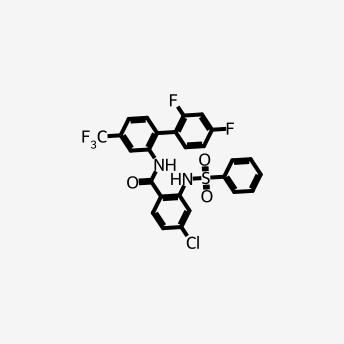 O=C(Nc1cc(C(F)(F)F)ccc1-c1ccc(F)cc1F)c1ccc(Cl)cc1NS(=O)(=O)c1ccccc1